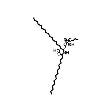 CCCCCCCCCCCCCCCC(=O)N[C@@H](COP(=O)(O)OCCC)[C@H](O)CCCCCCCCCCCCCCC